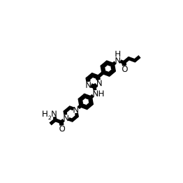 CCCC(=O)Nc1ccc(-c2ccnc(Nc3ccc(N4CCN(C(=O)C(C)N)CC4)cc3)n2)cc1